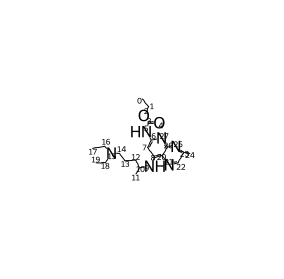 CCOC(=O)Nc1cc(NC(C)CCCN(CC)CC)c2ncc(C)nc2n1